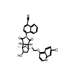 C[C@]12O[C@](CCOc3ccnc4cc(Cl)ccc34)(CC1O)[C@H]1C(=O)N(c3ccc(C#N)c4ccccc34)C(=O)[C@H]12